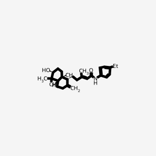 C=C1CC[C@@H]2C(C)(C)[C@H](O)CC[C@@]2(C)[C@@H]1CC/C(C)=C/C(=O)Nc1ccc(CC)cc1